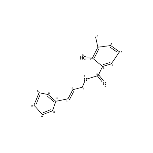 Cc1cccc(C(=O)OCC=Cc2ccccc2)c1O